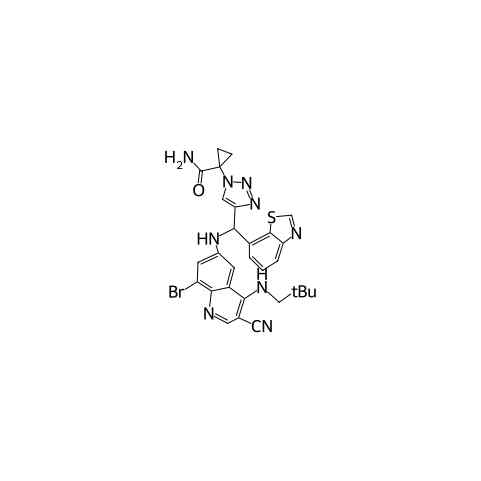 CC(C)(C)CNc1c(C#N)cnc2c(Br)cc(NC(c3cn(C4(C(N)=O)CC4)nn3)c3cccc4ncsc34)cc12